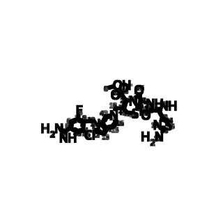 CO.N=C(N)c1cc(F)c(Cn2ccc3cc[n+](CC4=C(C(=O)[O-])N5C(=O)[C@@H](NC(=O)C(=N)c6csc(N)n6)[C@H]5SC4)cc32)c(Cl)c1